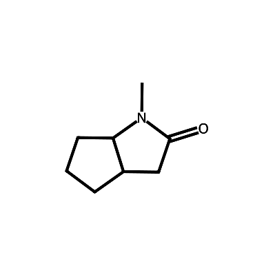 CN1C(=O)CC2CCCC21